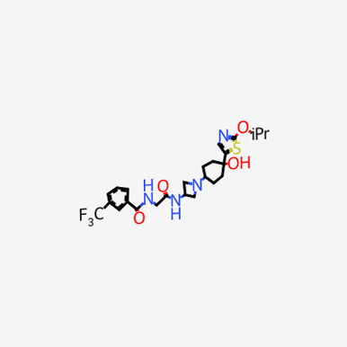 CC(C)Oc1ncc(C2(O)CCC(N3CC(NC(=O)CNC(=O)c4cccc(C(F)(F)F)c4)C3)CC2)s1